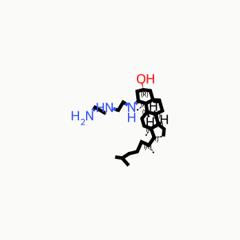 CC(C)CCC[C@@H](C)[C@H]1CC[C@H]2[C@@H]3CC=C4C[C@@H](O)CC(NCCNCCN)[C@]4(C)[C@H]3CC[C@]12C